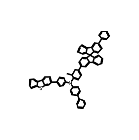 CC1CC(c2ccc3c(c2)-c2ccccc2C32c3ccccc3-c3cc(-c4ccccc4)ccc32)=CC=C1N(c1ccc(-c2ccccc2)cc1)c1ccc(-c2ccc3c(c2)sc2ccccc23)cc1